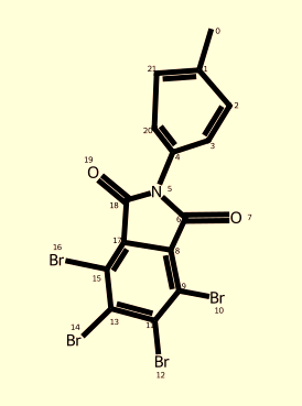 Cc1ccc(N2C(=O)c3c(Br)c(Br)c(Br)c(Br)c3C2=O)cc1